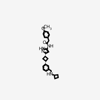 COc1ccc(CC(=O)Nc2cc([C@H]3C[C@@H](c4cccc(CNC5CCC5)c4)C3)n[nH]2)cc1